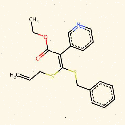 C=CCS/C(SCc1ccccc1)=C(\C(=O)OCC)c1cccnc1